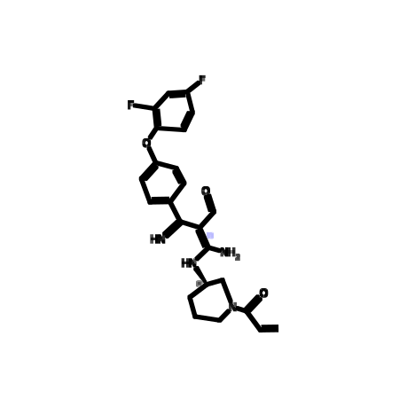 C=CC(=O)N1CCC[C@@H](N/C(N)=C(/C=O)C(=N)c2ccc(Oc3ccc(F)cc3F)cc2)C1